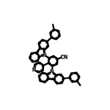 Cc1cccc(-c2ccc3c4ccccc4n(-c4cc(C#N)cc(-n5c6ccccc6c6ccc(-c7cccc(C)c7)cc65)c4-c4ccncc4)c3c2)c1